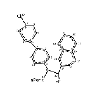 CCCCCC(c1ccc(-c2ccc(Cl)cc2)cc1)C(F)c1ccc2ccccc2c1